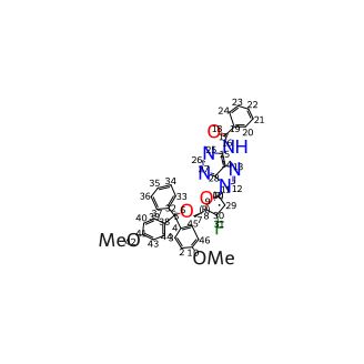 COc1ccc(C(OC[C@H]2O[C@@H](n3cnc4c(NC(=O)c5ccccc5)ncnc43)[CH]C2F)(c2ccccc2)c2ccc(OC)cc2)cc1